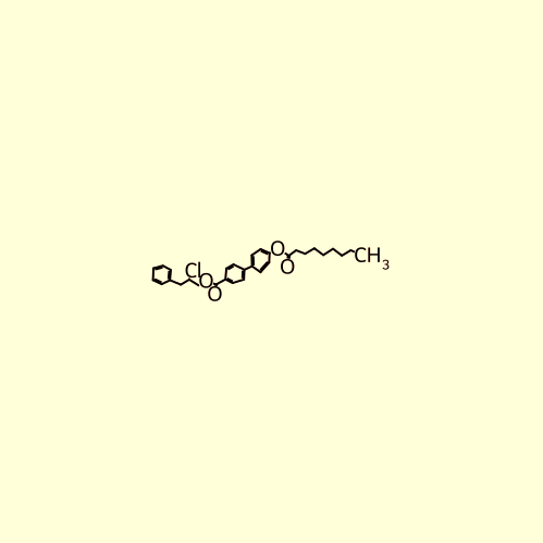 CCCCCCCCC(=O)Oc1ccc(-c2ccc(C(=O)OCC(Cl)Cc3ccccc3)cc2)cc1